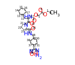 CCOC(=O)COC(=O)N[C@H](Cc1ccccc1)C(=O)N1CCC[C@H]1C(=O)NCc1ccc(C(N)=NO)cc1